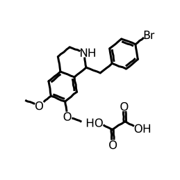 COc1cc2c(cc1OC)C(Cc1ccc(Br)cc1)NCC2.O=C(O)C(=O)O